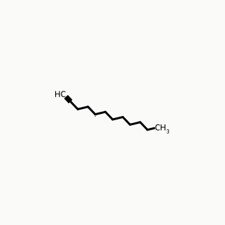 C#CCC[CH]CCCCCCC